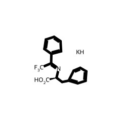 O=C(O)[C@H](Cc1ccccc1)/N=C(/c1ccccc1)C(F)(F)F.[KH]